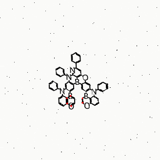 c1ccc(-c2cc3c4c(n2)N(c2ccccc2)c2cc5c(cc2B4c2cc4c(cc2O3)N(c2ccccc2)c2cccc3c2B4c2ccccc2O3)B2c3ccccc3Oc3cccc(c32)N5c2ccccc2)cc1